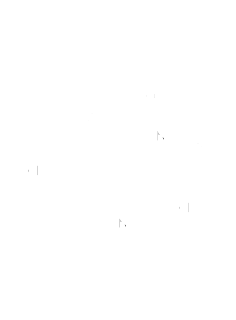 O=[N+]([O-])c1c(Cl)ncc(Cl)c1Cl